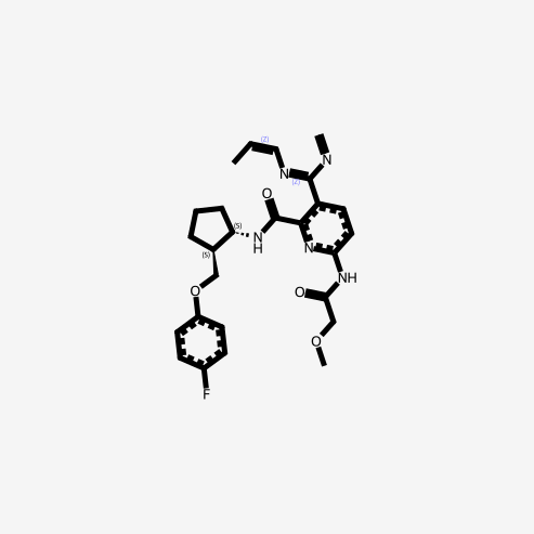 C=N/C(=N\C=C/C)c1ccc(NC(=O)COC)nc1C(=O)N[C@H]1CCC[C@@H]1COc1ccc(F)cc1